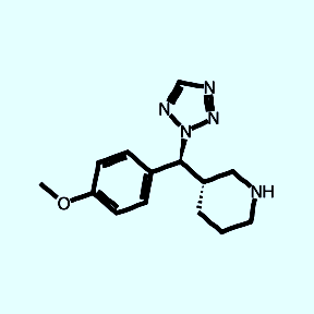 COc1ccc([C@H]([C@H]2CCCNC2)n2ncnn2)cc1